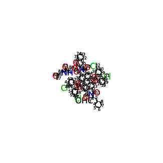 O=CC(Cc1ccccc1)N1C(=O)c2cc(Oc3cccc(Cl)c3)c3c4c(Oc5cccc(Cl)c5)cc5c6c(cc(Oc7cccc(Cl)c7)c(c7c(Oc8cccc(Cl)c8)cc(c2c37)C1=O)c64)C(=O)N(C(Cc1ccccc1)C(=O)OCCC(=O)NCC1CO1)C5=O